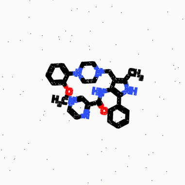 COc1ccccc1N1CCN(Cc2c(C)[nH]c(-c3ccccc3)c2NC(=O)c2cnccn2)CC1